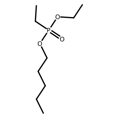 CCCCCOP(=O)(CC)OCC